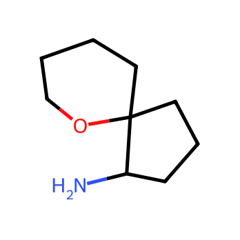 NC1CCCC12CCCCO2